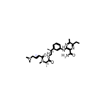 CCc1nc(C(N)=O)c(Nc2cccc([C@H](C)CNC(=O)[C@H](C)N(C)C(=O)/C=C/CN(C)C)c2)nc1C